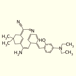 CCN(CC)c1ccc(C=C2C=CC=CC2/C=C(/N)C2=CC(=C(C#N)C#N)CC(C)(C)C2)c(O)c1